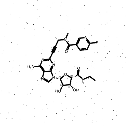 CCNC(=O)[C@H]1O[C@@H](n2cnc3c(N)nc(C#CCN(C)C(=O)c4ccc(F)nc4)nc32)[C@H](O)[C@@H]1O